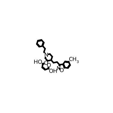 Cc1ccc2onc(CCC3CCN(CCc4ccccc4)CC3)c2c1.O=C(O)/C=C\C(=O)O